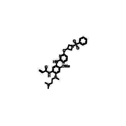 C=CC(=O)Nc1cc(Nc2nccc(OC3CN(S(=O)(=O)c4ccccc4)C3)n2)c(OC)cc1N(C)CCN(C)C